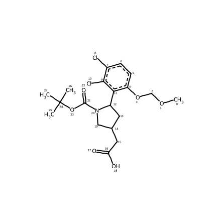 COCOc1ccc(Cl)c(Cl)c1C1CC(CC(=O)O)CN1C(=O)OC(C)(C)C